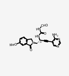 COc1ccc2c(c1)C(=O)N(C[C@@H](C#Cc1cncnc1N)NC(=O)NC=O)C2